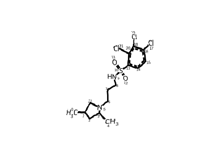 CC1CC(C)N(CCCNS(=O)(=O)c2ccc(Cl)c(Cl)c2Cl)C1